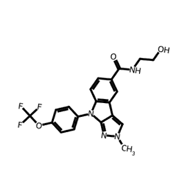 Cn1cc2c3cc(C(=O)NCCO)ccc3n(-c3ccc(OC(F)(F)F)cc3)c2n1